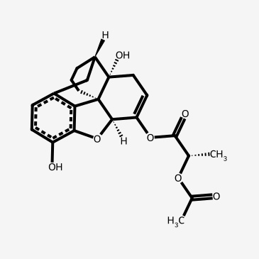 CC(=O)O[C@@H](C)C(=O)OC1=CC[C@]2(O)[C@H]3CCC[C@]24c2c(ccc(O)c2O[C@H]14)C3